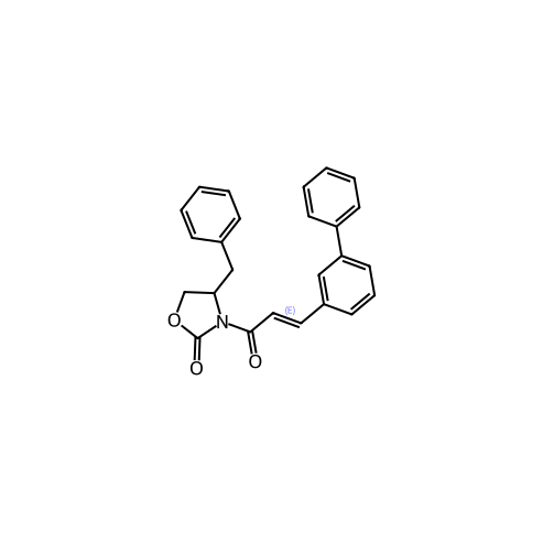 O=C(/C=C/c1cccc(-c2ccccc2)c1)N1C(=O)OCC1Cc1ccccc1